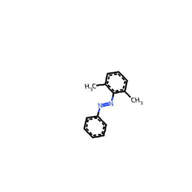 Cc1cccc(C)c1/N=N/c1ccccc1